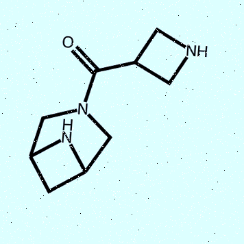 O=C(C1CNC1)N1CC2CC(C1)N2